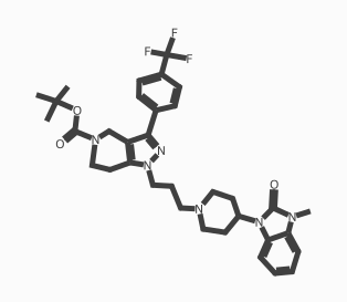 Cn1c(=O)n(C2CCN(CCCn3nc(-c4ccc(C(F)(F)F)cc4)c4c3CCN(C(=O)OC(C)(C)C)C4)CC2)c2ccccc21